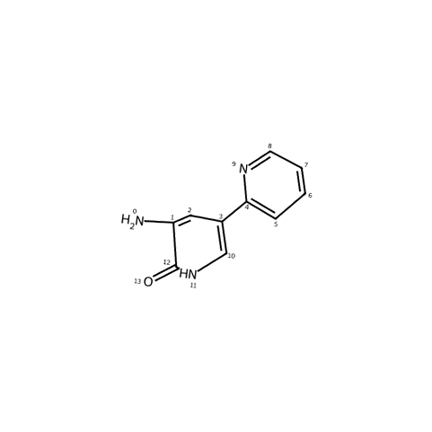 Nc1cc(-c2ccccn2)c[nH]c1=O